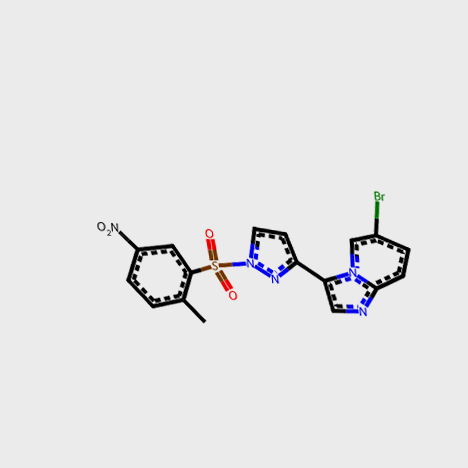 Cc1ccc([N+](=O)[O-])cc1S(=O)(=O)n1ccc(-c2cnc3ccc(Br)cn23)n1